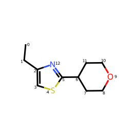 CCc1csc(C2CCOCC2)n1